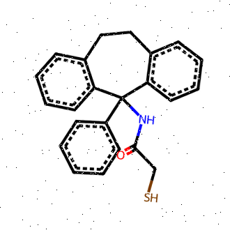 O=C(CS)NC1(c2ccccc2)c2ccccc2CCc2ccccc21